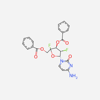 Nc1ccn([C@@H]2O[C@](F)(COC(=O)c3ccccc3)[C@@H](OC(=O)c3ccccc3)[C@H]2F)c(=O)n1